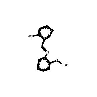 CCCCCCCCSc1ccccc1N=Cc1ccccc1O